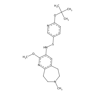 COc1nc2c(cc1NSc1ccc(OC(C)(C)C)nc1)CCN(C)CC2